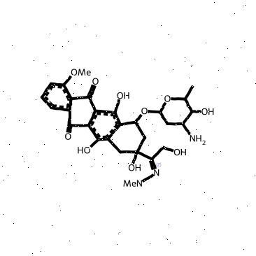 CN/N=C(/CO)C1(O)Cc2c(O)c3c(c(O)c2C(OC2CC(N)C(O)C(C)O2)C1)C(=O)c1c(OC)cccc1C3=O